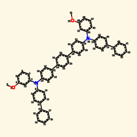 COc1cccc(N(c2ccc(-c3ccccc3)cc2)c2ccc(-c3ccc(-c4ccc(N(c5ccc(-c6ccccc6)cc5)c5cccc(OC)c5)cc4)cc3)cc2)c1